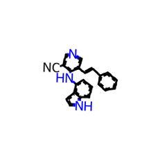 N#Cc1cncc(C=Cc2ccccc2)c1Nc1cccc2[nH]ccc12